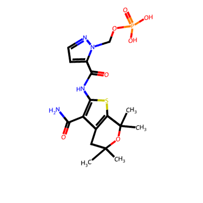 CC1(C)Cc2c(sc(NC(=O)c3ccnn3COP(=O)(O)O)c2C(N)=O)C(C)(C)O1